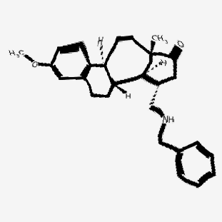 COc1ccc2c(c1)CC[C@H]1[C@@H]3[C@@H](CNCc4ccccc4)CC(=O)[C@@]3(C)CC[C@H]21